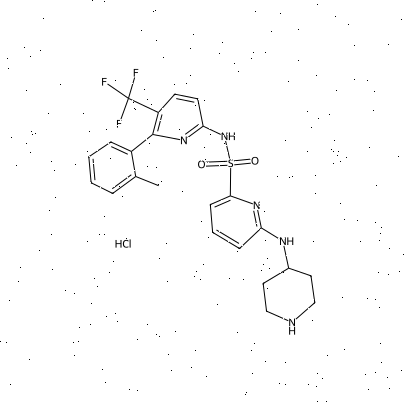 Cc1ccccc1-c1nc(NS(=O)(=O)c2cccc(NC3CCNCC3)n2)ccc1C(F)(F)F.Cl